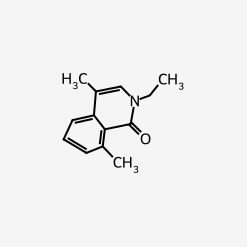 CCn1cc(C)c2cccc(C)c2c1=O